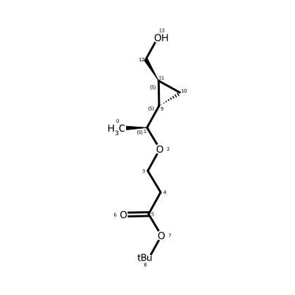 C[C@H](OCCC(=O)OC(C)(C)C)[C@H]1C[C@@H]1CO